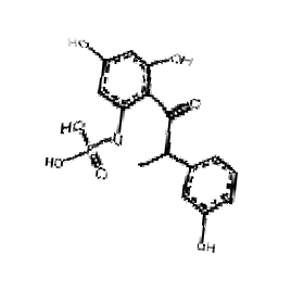 CC(C(=O)c1c(O)cc(O)cc1OP(=O)(O)O)c1cccc(O)c1